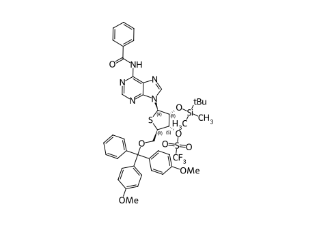 COc1ccc(C(OC[C@H]2S[C@@H](n3cnc4c(NC(=O)c5ccccc5)ncnc43)[C@H](O[Si](C)(C)C(C)(C)C)[C@@H]2OS(=O)(=O)C(F)(F)F)(c2ccccc2)c2ccc(OC)cc2)cc1